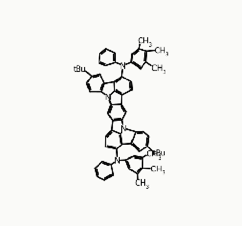 Cc1cc(N(c2ccccc2)c2ccc3c4cc5c(cc4n4c6ccc(C(C)(C)C)cc6c2c34)c2ccc(N(c3ccccc3)c3cc(C)c(C)c(C)c3)c3c4cc(C(C)(C)C)ccc4n5c23)cc(C)c1C